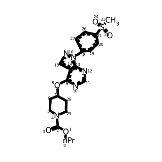 CCCOC(=O)N1CCC(Oc2ncnc3c2cnn3-c2ccc(S(C)(=O)=O)cc2)CC1